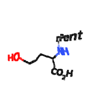 CCCCCNC(CCO)C(=O)O